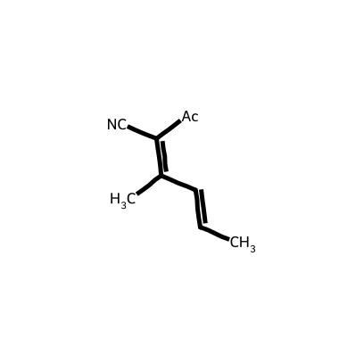 C/C=C/C(C)=C(/C#N)C(C)=O